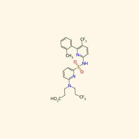 Cc1ccccc1-c1nc(NS(=O)(=O)c2cccc(N(CCC(=O)O)CCC(F)(F)F)n2)ccc1C(F)(F)F